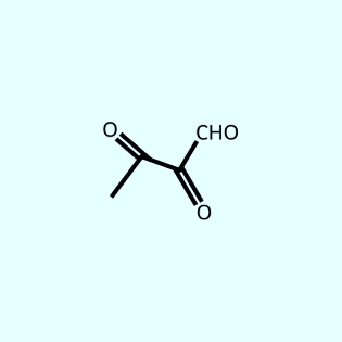 CC(=O)C(=O)C=O